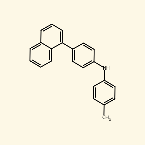 Cc1ccc(Nc2ccc(-c3cccc4ccccc34)cc2)cc1